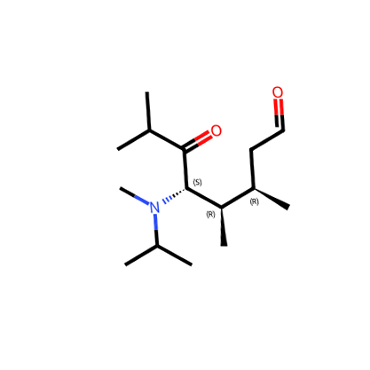 CC(C)C(=O)[C@H]([C@H](C)[C@H](C)CC=O)N(C)C(C)C